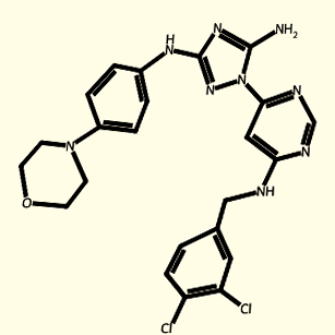 Nc1nc(Nc2ccc(N3CCOCC3)cc2)nn1-c1cc(NCc2ccc(Cl)c(Cl)c2)ncn1